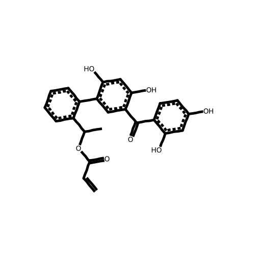 C=CC(=O)OC(C)c1ccccc1-c1cc(C(=O)c2ccc(O)cc2O)c(O)cc1O